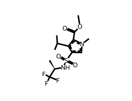 COC(=O)c1c(C(C)C)c(S(=O)(=O)N[C@H](C)C(F)(F)F)cn1C